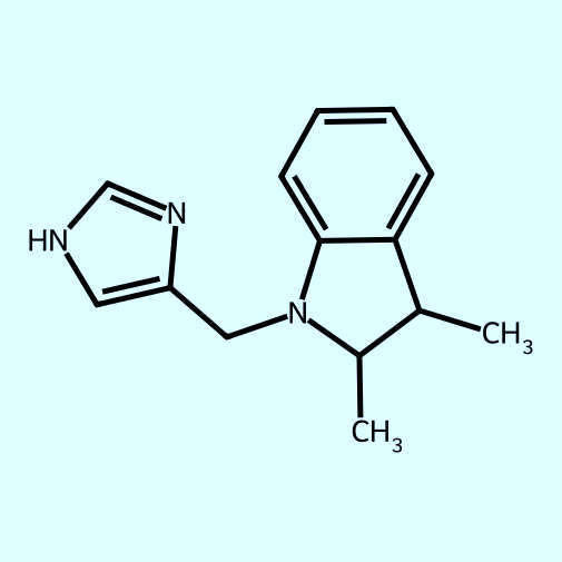 CC1c2ccccc2N(Cc2c[nH]cn2)C1C